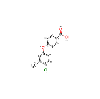 Cc1cc(Oc2ccc(C(=O)O)cc2)ccc1Cl